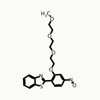 COCCOCCOCCOc1cc(N=O)ccc1-c1nc2ccccc2s1